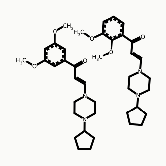 COc1cc(OC)cc(C(=O)C=CN2CCN(C3CCCC3)CC2)c1.COc1cccc(C(=O)C=CN2CCN(C3CCCC3)CC2)c1OC